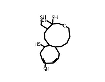 CCC1(S)CCCCCCC2CC=C/C(S)=C\CC(S)C2CCC1CS